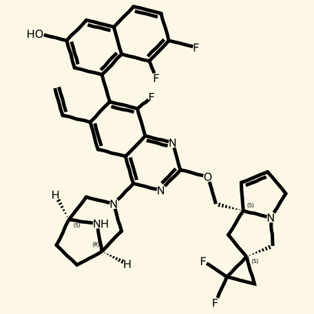 C=Cc1cc2c(N3C[C@H]4CC[C@@H](C3)N4)nc(OC[C@]34C=CCN3C[C@@]3(CC3(F)F)C4)nc2c(F)c1-c1cc(O)cc2ccc(F)c(F)c12